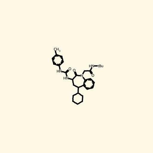 Cc1ccc(NC(=O)NC2CC(C3CCCCC3)c3ccccc3N(CC(=O)NC(C)(C)C)C2=O)cc1